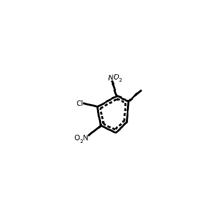 Cc1ccc([N+](=O)[O-])c(Cl)c1[N+](=O)[O-]